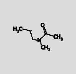 C[CH]CN(C)C(C)=O